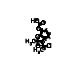 CC(Cl)C1c2cccc(OC(=O)O)c2OC1(C)C